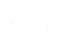 Brc1cccc(-c2[c]c[nH]n2)c1